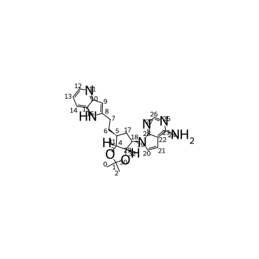 CC1(C)O[C@@H]2[C@@H](CCc3cc4ncccc4[nH]3)C[C@@H](n3ccc4c(N)ncnc43)[C@@H]2O1